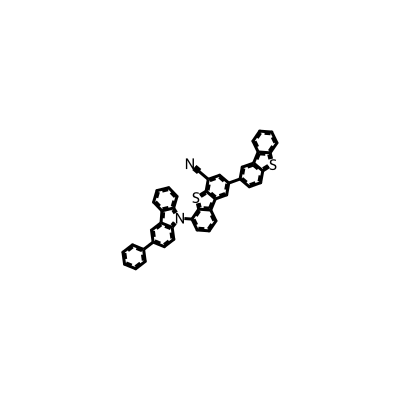 N#Cc1cc(-c2ccc3sc4ccccc4c3c2)cc2c1sc1c(-n3c4ccccc4c4cc(-c5ccccc5)ccc43)cccc12